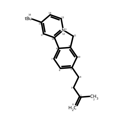 C=C(C)CCc1ccc2c(c1)C[n+]1ccc(C(C)(C)C)cc1-2